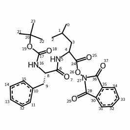 CC(C)CC(NC(=O)[C@H](Cc1ccccc1)NC(=O)OC(C)(C)C)C(=O)ON1C(=O)c2ccccc2C1=O